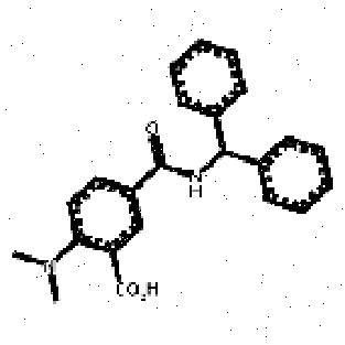 CN(C)c1ccc(C(=O)NC(c2ccccc2)c2ccccc2)cc1C(=O)O